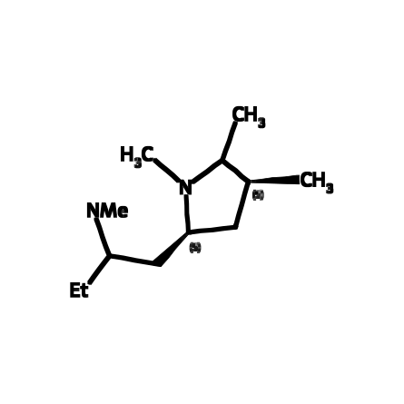 CCC(C[C@@H]1C[C@H](C)C(C)N1C)NC